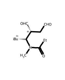 CCC(=O)N(C)C([C@H](C=O)CC=O)[C@@H](C)CC